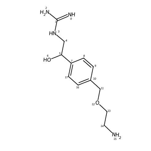 N=C(N)NCC(O)c1ccc(COCCN)cc1